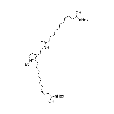 CCCCCCC(O)C/C=C\CCCCCCCC(=O)NCCN1CC[N+](CC)=C1CCCCCCC/C=C\CC(O)CCCCCC